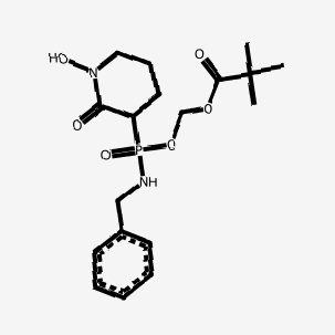 CC(C)(C)C(=O)OCOP(=O)(NCc1ccccc1)C1CCCN(O)C1=O